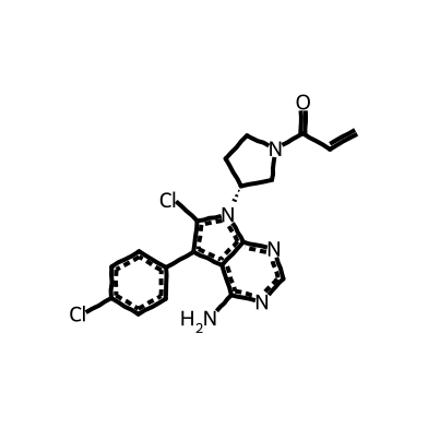 C=CC(=O)N1CC[C@@H](n2c(Cl)c(-c3ccc(Cl)cc3)c3c(N)ncnc32)C1